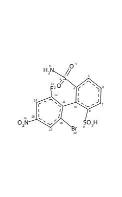 NS(=O)(=O)c1cccc(S(=O)(=O)O)c1-c1c(F)cc([N+](=O)[O-])cc1Br